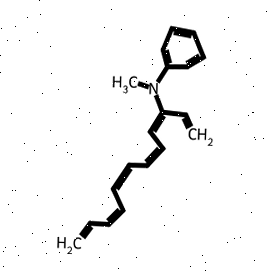 C=C\C=C/C=C\C=C/C=C(\C=C)N(C)c1ccccc1